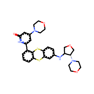 O=c1cc(N2CCOCC2)cc(-c2cccc3c2Sc2ccc(NC4COC[C@@H]4N4CCOCC4)cc2S3)[nH]1